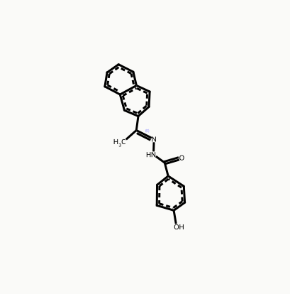 C/C(=N\NC(=O)c1ccc(O)cc1)c1ccc2ccccc2c1